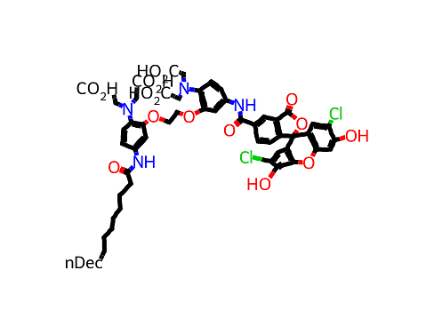 CCCCCCCCCCCCCCCCCC(=O)Nc1ccc(N(CC(=O)O)CC(=O)O)c(OCCOc2cc(NC(=O)c3ccc4c(c3)C(=O)OC43c4cc(Cl)c(O)cc4Oc4cc(O)c(Cl)cc43)ccc2N(CC(=O)O)CC(=O)O)c1